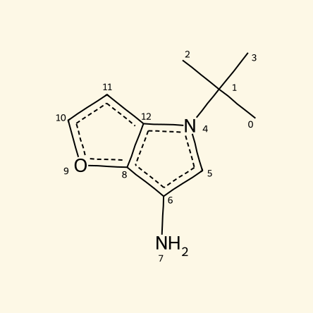 CC(C)(C)n1cc(N)c2occc21